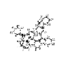 c1ccc(-c2ccc3c4ccccc4n(-c4ccc5sc6ccccc6c5c4)c3c2-c2cccc3c2c2ccccc2n3-c2ccccc2)cc1